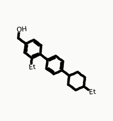 CCc1cc(CO)ccc1-c1ccc(C2CCC(CC)CC2)cc1